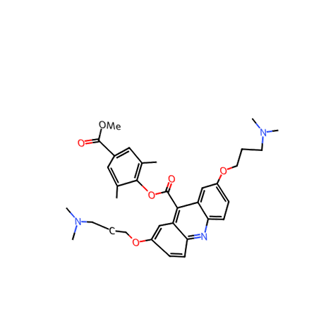 COC(=O)c1cc(C)c(OC(=O)c2c3cc(OCCCN(C)C)ccc3nc3ccc(OCCCN(C)C)cc23)c(C)c1